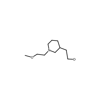 COCCN1CCCC(CC[O])C1